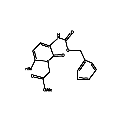 CCCCc1ccc(NC(=O)OCc2ccccc2)c(=O)n1CC(=O)OC